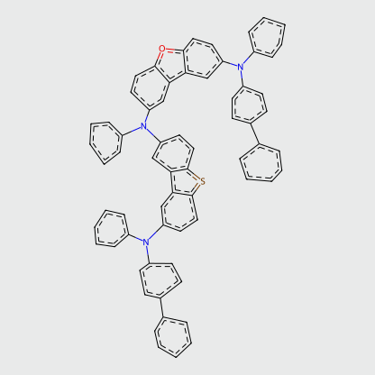 c1ccc(-c2ccc(N(c3ccccc3)c3ccc4oc5ccc(N(c6ccccc6)c6ccc7sc8ccc(N(c9ccccc9)c9ccc(-c%10ccccc%10)cc9)cc8c7c6)cc5c4c3)cc2)cc1